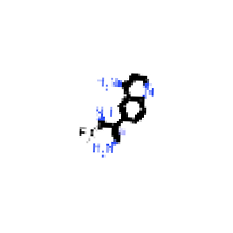 N=C(/C(=C\N)C1=CC2C(N)=CC=NC2C=C1)C(F)(F)F